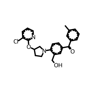 Cc1cccc(C(=O)c2ccc(N3CCC(Oc4ncccc4Cl)C3)c(CO)c2)c1